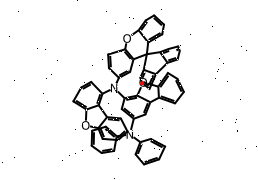 c1ccc(N(c2ccccc2)c2cc(N(c3ccc4c(c3)C3(c5ccccc5O4)c4ccccc4-c4ccccc43)c3cccc4oc5ccccc5c34)c3oc4ccccc4c3c2)cc1